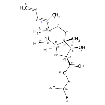 C=C/C=C(\C)[C@@]1(C)CC[C@]2(C)[C@@H](O)[C@@H](C(=O)OCC(F)F)C[C@H]2[C@@H]1C